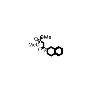 COP(=O)(CC(=O)[C@@H]1CCc2ccccc2C1)OC